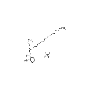 CCCCCCCCCCCCCCCCCC(CCCC)CCC(F)c1ccccc1[N+]#N.F[B-](F)(F)F